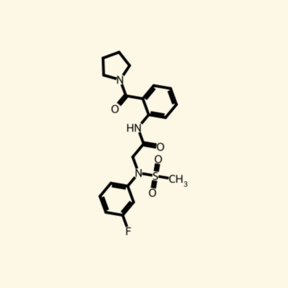 CS(=O)(=O)N(CC(=O)Nc1ccccc1C(=O)N1CCCC1)c1cccc(F)c1